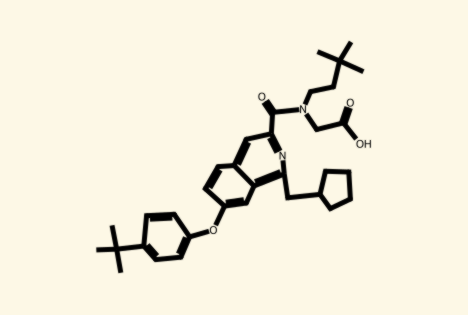 CC(C)(C)CCN(CC(=O)O)C(=O)c1cc2ccc(Oc3ccc(C(C)(C)C)cc3)cc2c(CC2CCCC2)n1